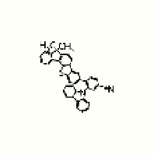 CC1(C)c2ccccc2-c2c1ccc1c2sc2ccc(-c3ccc(C#N)cc3N3c4ccccc4C4C=CC=CC43)cc21